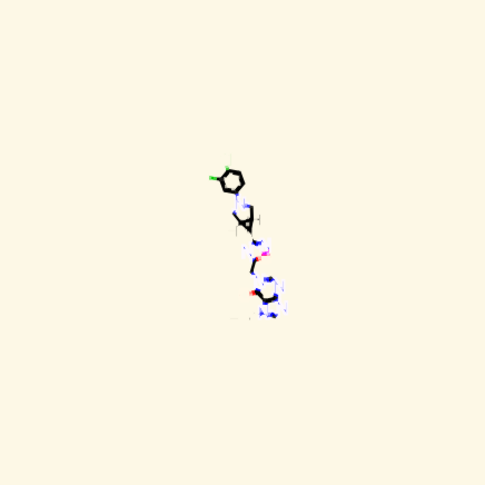 Cn1cnc2ncn(Cc3nc([C@H]4[C@@H]5CN(c6ccc(Cl)c(Cl)c6)C[C@@H]54)no3)c(=O)c21